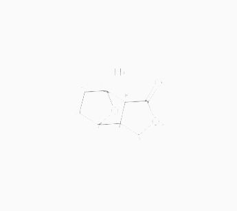 O=C1OCC2C3CC[C@H](O3)C12